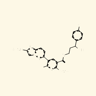 COc1nc(C)c(-c2ccc3nc(NC(C)=O)cn3n2)cc1C(=O)NCCC(O)c1ccc(Cl)cc1